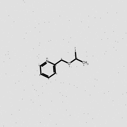 CC(I)OCc1ccccn1